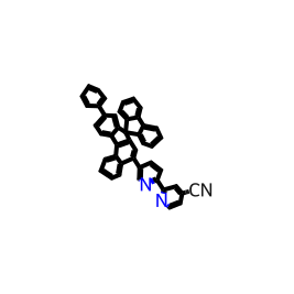 N#Cc1ccnc(-c2ccc(-c3cc4c(c5ccccc35)-c3ccc(-c5ccccc5)cc3C43c4ccccc4-c4ccccc43)cn2)c1